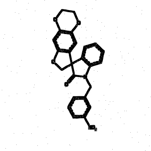 O=C1N(Cc2cccc([N+](=O)[O-])c2)c2ccccc2C12COc1cc3c(cc12)OCCO3